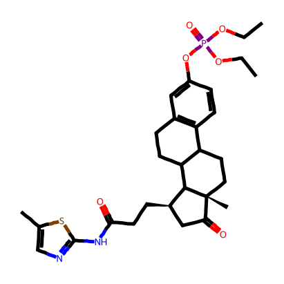 CCOP(=O)(OCC)Oc1ccc2c(c1)CCC1C2CC[C@]2(C)C(=O)C[C@@H](CCC(=O)Nc3ncc(C)s3)C12